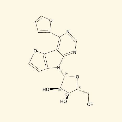 OC[C@H]1O[C@@H](n2c3ccoc3c3c(-c4ccco4)ncnc32)[C@H](O)[C@@H]1O